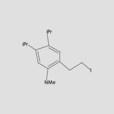 CNc1cc(C(C)C)c(C(C)C)cc1CCI